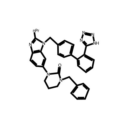 CCCc1nc2ccc(N3CCCN(Cc4ccccc4)C3=O)cc2n1Cc1ccc(-c2ccccc2-c2nnn[nH]2)cc1